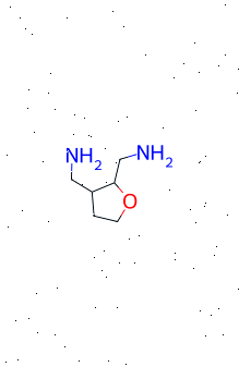 NCC1CCOC1CN